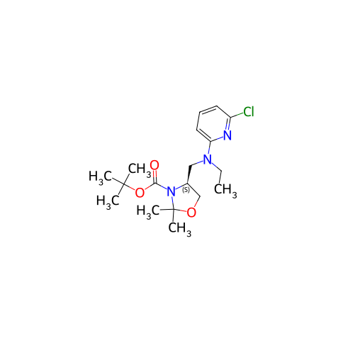 CCN(C[C@H]1COC(C)(C)N1C(=O)OC(C)(C)C)c1cccc(Cl)n1